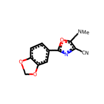 CNc1oc(-c2ccc3c(c2)OCO3)nc1C#N